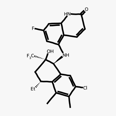 CC[C@@H]1C[C@](O)(C(F)(F)F)[C@@H](Nc2cc(F)cc3[nH]c(=O)ccc23)c2cc(Cl)c(C)c(C)c21